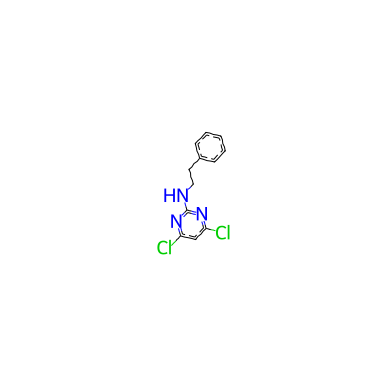 Clc1cc(Cl)nc(NCCc2ccccc2)n1